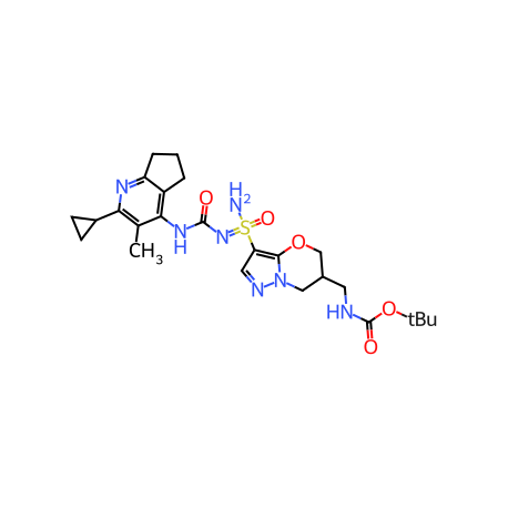 Cc1c(C2CC2)nc2c(c1NC(=O)N=S(N)(=O)c1cnn3c1OCC(CNC(=O)OC(C)(C)C)C3)CCC2